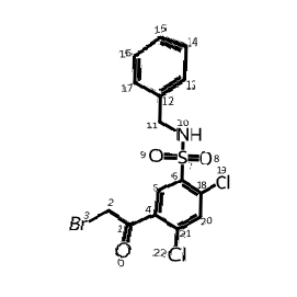 O=C(CBr)c1cc(S(=O)(=O)NCc2ccccc2)c(Cl)cc1Cl